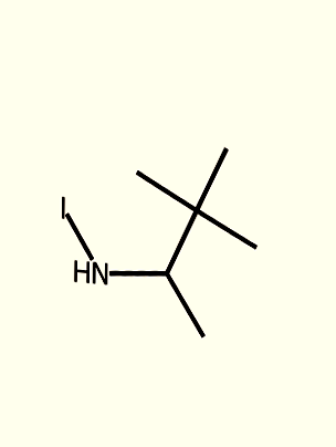 CC(NI)C(C)(C)C